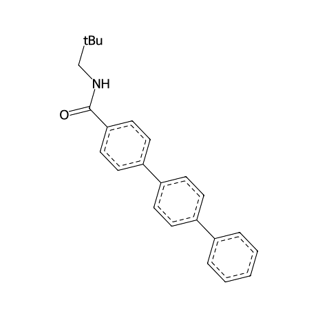 CC(C)(C)CNC(=O)c1ccc(-c2ccc(-c3ccccc3)cc2)cc1